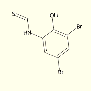 Oc1c(Br)cc(Br)cc1N[C]=S